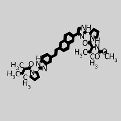 COC(=O)N[C@H](C(=O)N1CCC[C@H]1c1nc(-c2ccc3cc(/C=C/c4ccc5[nH]c([C@@H]6CCCN6C(=O)[C@@H](C)C(C)C)nc5c4)ccc3c2)c[nH]1)C(C)C